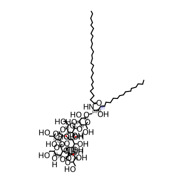 CCCCCCCCCCCCC/C=C/[C@@H](O)[C@H](CO[C@@H]1OC(CO)[C@@H](O[C@@H]2OC(CO)[C@H](O[C@@H]3OC(CO)[C@H](O)[C@H](O[C@@H]4OC(CO)[C@H](O)[C@H](O[C@@H]5OC(CO)[C@H](O)[C@H](O)C5O[C@H]5OC(C)[C@@H](O)C(O)[C@@H]5O)C4NC(C)=O)C3O)[C@H](O)C2O)[C@H](O)C1O)NC(=O)CCCCCCCCCCCCCCCCCCCCCCCCC